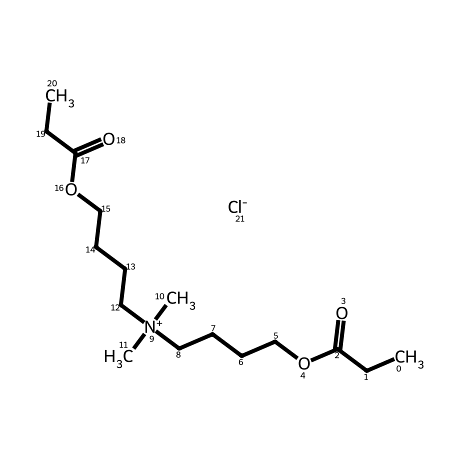 CCC(=O)OCCCC[N+](C)(C)CCCCOC(=O)CC.[Cl-]